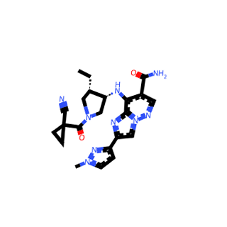 CC[C@H]1CN(C(=O)C2(C#N)CC2)C[C@H]1Nc1c(C(N)=O)cnn2cc(-c3ccn(C)n3)nc12